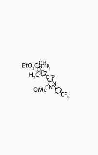 CCOC(=O)C(C)(C)Oc1ccc(OCc2c(COC)nc(-c3ccc(C(F)(F)F)cc3)nc2C2CC2)cc1C